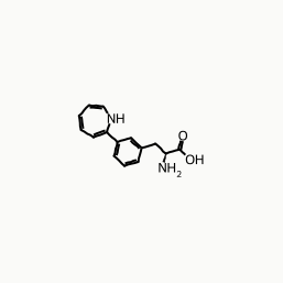 N[C@@H](Cc1cccc(C2=CC=CC=CN2)c1)C(=O)O